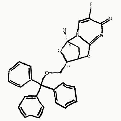 O=c1nc2n(cc1F)[C@H]1CC(O2)[C@@H](COC(c2ccccc2)(c2ccccc2)c2ccccc2)O1